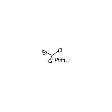 ClC(Cl)Br.[PbH2]